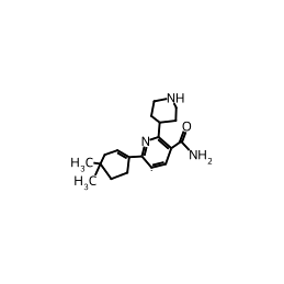 CC1(C)CC=C(c2[c]cc(C(N)=O)c(C3CCNCC3)n2)CC1